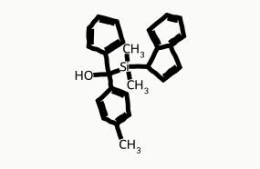 Cc1ccc(C(O)(c2ccccc2)[Si](C)(C)C2C=Cc3ccccc32)cc1